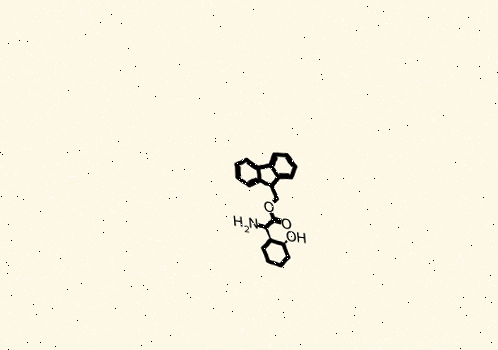 NC(C(=O)OCC1c2ccccc2-c2ccccc21)[C@@H]1CCCC[C@H]1O